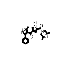 Cc1onc(-c2ccccc2)c1C(=O)c1c[nH]c(C(=O)N2CC(C)OC(C)C2)c1